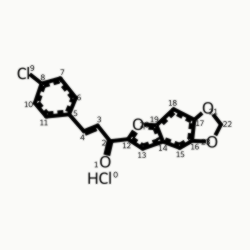 Cl.O=C(C=Cc1ccc(Cl)cc1)c1cc2cc3c(cc2o1)OCO3